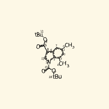 Cc1cc(C)c2c(c1)c(C(=O)OC(C)(C)C)cn2C(=O)OC(C)(C)C